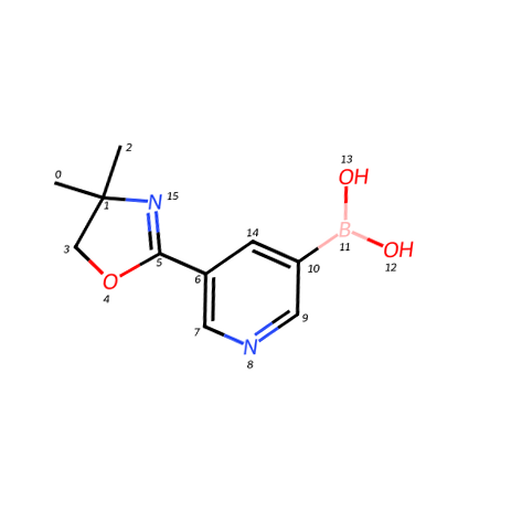 CC1(C)COC(c2cncc(B(O)O)c2)=N1